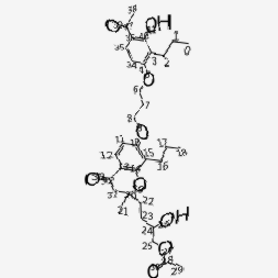 CCCc1c(OCCCOc2ccc3c(c2CCC)OC(C)(CCC(O)COC(C)=O)CC3=O)ccc(C(C)=O)c1O